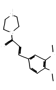 COc1ccc(/C=C/C(=O)N2CCNCC2)cc1OC